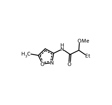 CCC(OC)C(=O)Nc1cc(C)on1